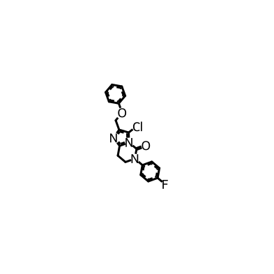 O=C1N(c2ccc(F)cc2)CCc2nc(COc3ccccc3)c(Cl)n21